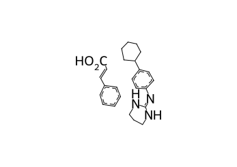 O=C(O)C=Cc1ccccc1.c1cc(C2CCCCC2)ccc1N=C1NCCCN1